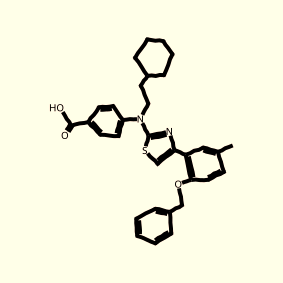 Cc1ccc(OCc2ccccc2)c(-c2csc(N(CCC3CCCCC3)c3ccc(C(=O)O)cc3)n2)c1